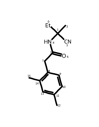 CCC(C)(C#N)NC(=O)Cc1ccc(C)cc1C